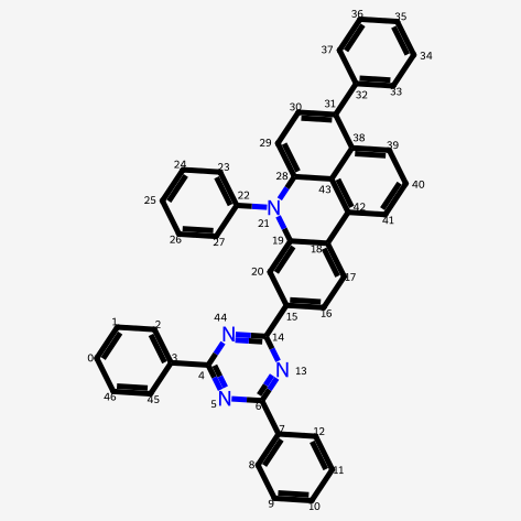 c1ccc(-c2nc(-c3ccccc3)nc(-c3ccc4c(c3)N(c3ccccc3)c3ccc(-c5ccccc5)c5cccc-4c35)n2)cc1